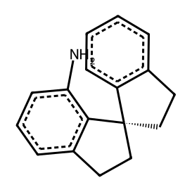 Nc1cccc2c1[C@]1(CCc3ccccc31)CC2